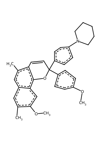 COc1ccc(C2(c3ccc(N4CCCCC4)cc3)C=Cc3c(C)cc4cc(C)c(OC)cc4c3O2)cc1